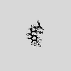 Cc1c(C(=O)c2cnn(C(C)C)c2O)ccc(S(C)(=O)=O)c1C